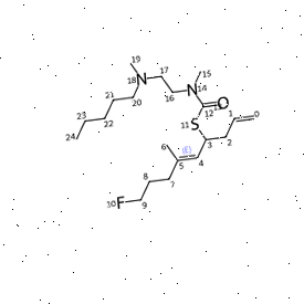 C=CCC(/C=C(\C)CCCF)SC(=O)N(C)CCN(C)CCCCC